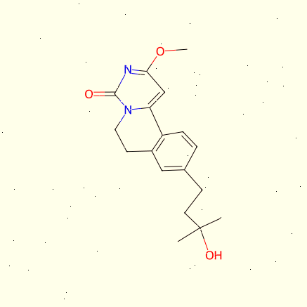 COc1cc2n(c(=O)n1)CCc1cc(CCC(C)(C)O)ccc1-2